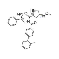 CO/N=C1\CN[C@H](C(=O)N(C[C@H](O)c2ccccc2)C(=O)c2ccc(-c3ccccc3C)cc2)C1